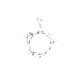 CCC=CC[C@@H](C)[C@@H](O)[C@@H]1NC(=O)[C@H](C(C)C)N(C)C(=O)[C@H](CC(C)C)N(C)C(=O)[C@H](CC(C)C)N(C)C(=O)[C@@H](C)NC(=O)[C@H](C)NC(=O)[C@H](CC(C)C)N(C)C(=O)[C@H](C(C)C)NC(=O)[C@H]([C@@H](C)OCCCCN2CCOCC2)N(C)C(=O)[C@@H](C)N(C)C(=O)[C@H](CC)NC1=O